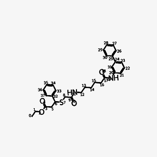 CCOC(=O)CC(SCC(=O)NCCCCCC(=O)Nc1cccc(-c2ccccc2)c1)c1ccccc1